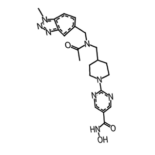 CC(=O)N(Cc1ccc2c(c1)nnn2C)CC1CCN(c2ncc(C(=O)NO)cn2)CC1